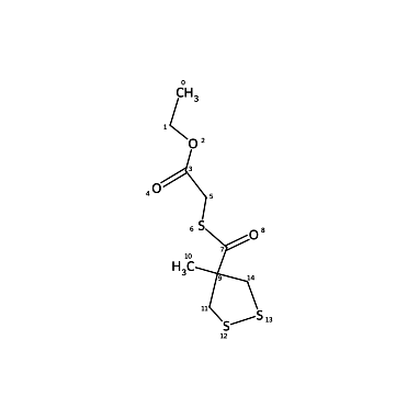 CCOC(=O)CSC(=O)C1(C)CSSC1